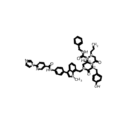 C=CCN1CC(=O)N2[C@@H](Cc3ccc(O)cc3)C(=O)N(Cc3cccc4c(-c5ccc(NC(=O)c6ccc(-n7ccnc7)nc6)cc5)cn(C)c34)C[C@@H]2N1C(=O)NCc1ccccc1